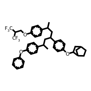 CC(CC(CC(C)c1ccc(Oc2ccccc2)cc1)c1ccc(OC2CC3CCC2C3)cc1)c1ccc(OCC(C(F)(F)F)C(F)(F)F)cc1